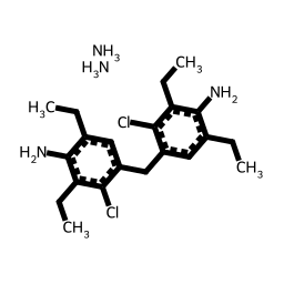 CCc1cc(Cc2cc(CC)c(N)c(CC)c2Cl)c(Cl)c(CC)c1N.N.N